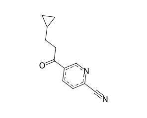 N#Cc1ccc(C(=O)CCC2CC2)cn1